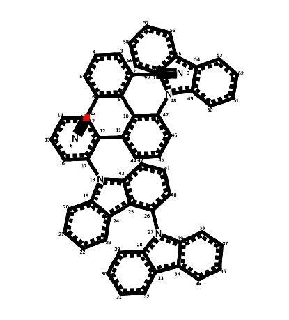 N#Cc1cccc(C#N)c1-c1c(-c2ccccc2-n2c3ccccc3c3c(-n4c5ccccc5c5ccccc54)cccc32)cccc1-n1c2ccccc2c2ccccc21